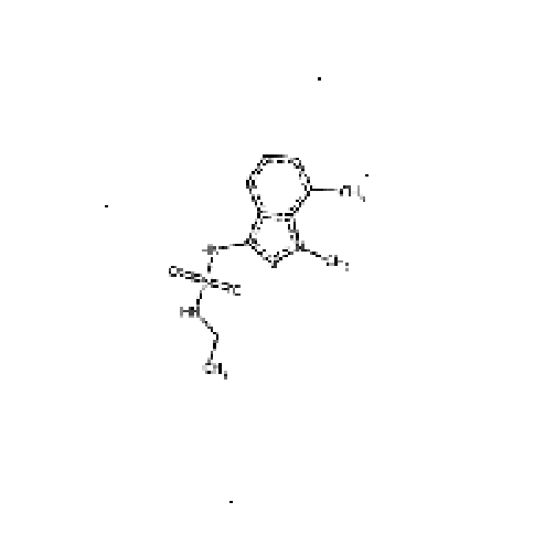 CCNS(=O)(=O)Nc1nn(C)c2c(C)cccc12